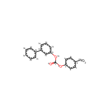 O=C(Oc1ccc([N+](=O)[O-])cc1)Oc1cccc(-c2ccccc2)c1